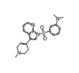 CN1CC=C(c2cn(S(=O)(=O)c3cccc(N(C)C)c3)c3ncccc23)CC1